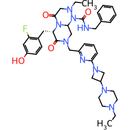 CCN1CCN(C2CN(c3cccc(CN4CC5N(C(=O)CN(CC)N5C(=O)NCc5ccccc5)[C@@H](Cc5ccc(O)cc5F)C4=O)n3)C2)CC1